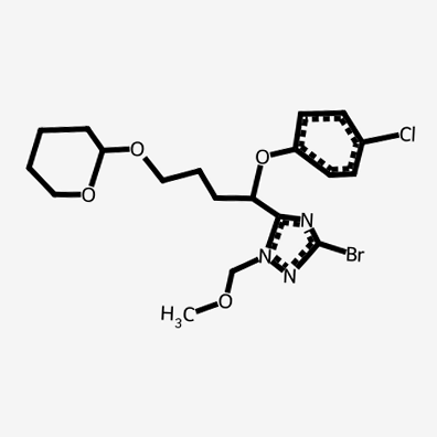 COCn1nc(Br)nc1C(CCCOC1CCCCO1)Oc1ccc(Cl)cc1